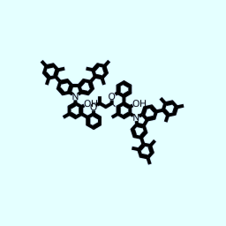 Cc1cc(C)c(-c2ccc3c(c2)c2cc(-c4c(C)cc(C)cc4C)ccc2n3-c2cc(C)cc(-c3ccccc3OC(C)C[C@@H](C)Oc3ccccc3-c3cc(C)cc(-n4c5ccc(-c6c(C)cc(C)cc6C)cc5c5cc(-c6c(C)cc(C)cc6C)ccc54)c3O)c2O)c(C)c1